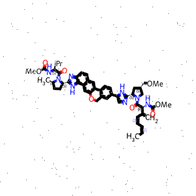 C=C(/C=C\C=C/C)[C@@H](NC(=O)OC)C(=O)N1C[C@@H](COC)C[C@H]1c1ncc(-c2ccc3c(c2)COc2cc4c(ccc5nc([C@@H]6CC[C@H](C)N6C(=O)[C@@H](NC(=O)OC)C(C)C)[nH]c54)cc2-3)[nH]1